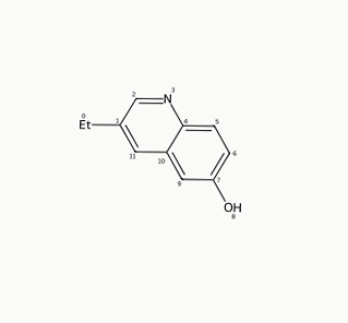 CCc1cnc2ccc(O)cc2c1